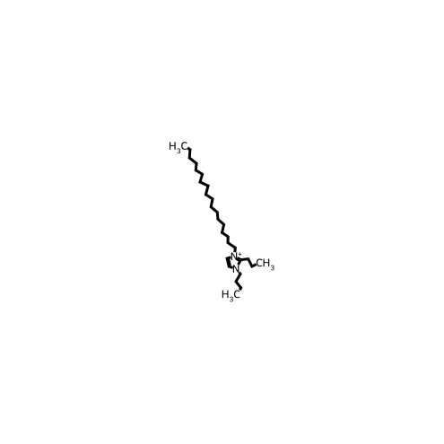 CCCCCCCCCCCCCCCCCC[n+]1ccn(CCCC)c1CCC